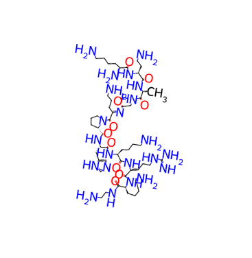 C[C@H](NC(=O)[C@H](CCN)NC(=O)[C@@H](N)CCCCN)C(=O)NCC(=O)/N=C(\CCCN)C(=O)N1CCC[C@H]1C(=O)N[C@@H](Cc1cnc[nH]1)C(=O)N[C@@H](CCCCN)C(=O)N/C(=C\CCNC(=N)N)C(=O)N[C@@H](CCCCN)C(=O)NCCN